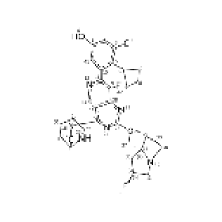 Oc1cc(Cl)c(C2CCC2)c(-c2ncc3c(N4CC5CCC4CN5)nc(OC[C@]45CCCN4C[C@@H](F)C5)nc3c2F)c1